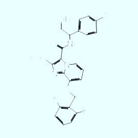 Cc1nc2c(OCc3c(F)cccc3F)cccn2c1C(=O)NC(CO)c1ccc(F)cc1